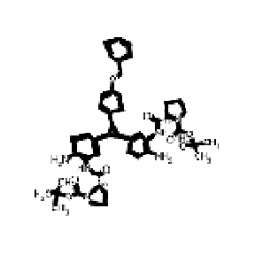 CC(C)(C)OC(=O)N1CCC[C@H]1C(=O)Nc1cc(C2C(c3ccc(OCc4ccccc4)cc3)C2c2ccc(N)c(NC(=O)[C@@H]3CCCN3C(=O)OC(C)(C)C)c2)ccc1N